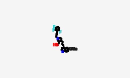 COc1ccc2nccc(CCCC3CCN(CC#Cc4c(F)ccc(F)c4F)CC3CO)c2c1